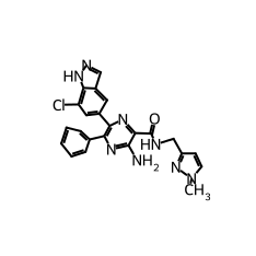 Cn1ccc(CNC(=O)c2nc(-c3cc(Cl)c4[nH]ncc4c3)c(-c3ccccc3)nc2N)n1